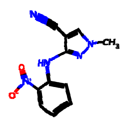 Cn1cc(C#N)c(Nc2ccccc2[N+](=O)[O-])n1